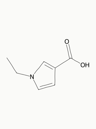 CCn1ccc(C(=O)O)c1